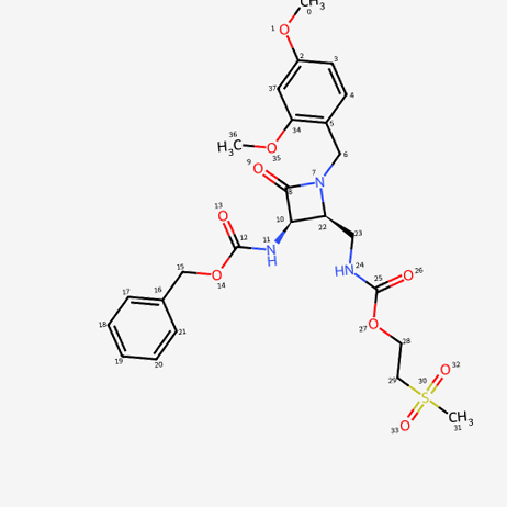 COc1ccc(CN2C(=O)[C@H](NC(=O)OCc3ccccc3)[C@@H]2CNC(=O)OCCS(C)(=O)=O)c(OC)c1